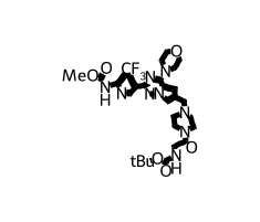 COC(=O)Nc1cc(C(F)(F)F)c(-c2nc(N3CCOCC3)c3cc(CN4CCN(C(=O)CNC(=O)OC(C)(C)C)CC4)cn3n2)cn1